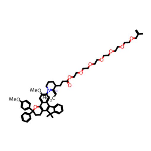 C=C(C)COCCOCCOCCOCCOCCOCCOC(=O)CCC1CCCN(c2cc3c4c(c5c(c3cc2OC)OC(c2ccccc2)(c2ccc(OC)cc2)CC5)C(C)(C)c2ccccc2-4)/C1=C\C(=O)O